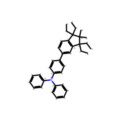 CCC1(CC)c2ccc(-c3ccc(N(c4ccccc4)c4ccccc4)cc3)cc2C(CC)(CC)C1(C)C